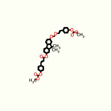 COC(=O)Oc1ccc(C=COCOc2ccc3c(c2)C(C)(C)c2cc(OC(=O)C=Cc4ccc(OC(=O)OC)cc4)ccc2-3)cc1